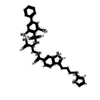 Cc1cc(-c2ccccc2)cc(C)c1S(=O)(=O)NC(CNC(=O)c1ccc2c(CCCNc3ncc[nH]3)n[nH]c2c1)C(=O)O